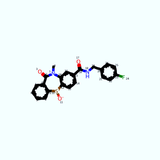 CN1C(=O)c2ccccc2[S+]([O-])c2ccc(C(=O)NCc3ccc(F)cc3)cc21